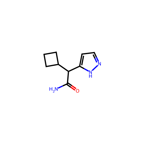 NC(=O)C(c1ccn[nH]1)C1CCC1